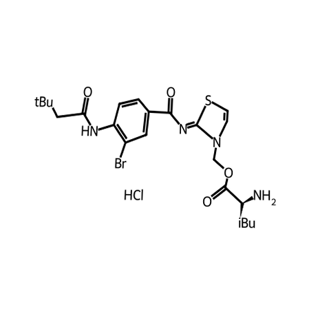 CC[C@H](C)[C@H](N)C(=O)OCn1ccsc1=NC(=O)c1ccc(NC(=O)CC(C)(C)C)c(Br)c1.Cl